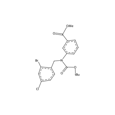 COC(=O)c1cccc(N(Cc2ccc(Cl)cc2Br)C(=O)OC(C)(C)C)c1